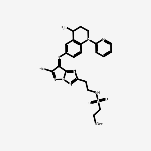 CCCCCCCCCCCCS(=O)(=O)NCCc1nc2n(n1)N=C(C(C)(C)C)/C2=N/c1ccc2c(c1)C(C)CCN2c1ccccn1